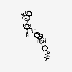 CC(C)(C)[Si](C)(C)O[C@H]1CC[C@H](CN[C@@H]2[C@@H]3CC4C[C@H]2C[C@@](CNc2nc(NCc5cccnc5S(C)(=O)=O)ncc2C#N)(C4)C3)CC1